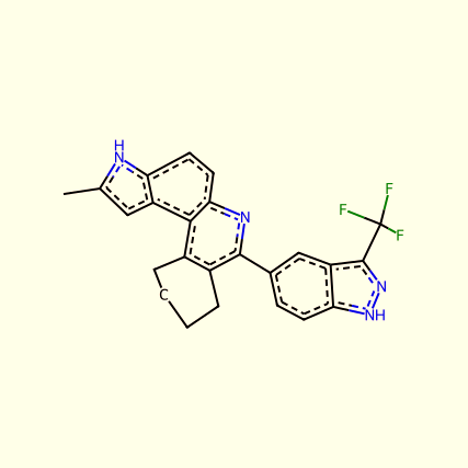 Cc1cc2c(ccc3nc(-c4ccc5[nH]nc(C(F)(F)F)c5c4)c4c(c32)CCCC4)[nH]1